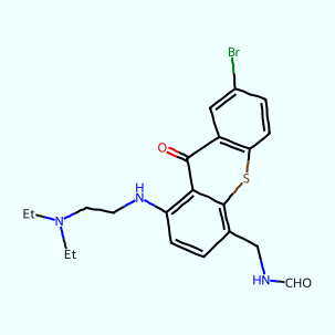 CCN(CC)CCNc1ccc(CNC=O)c2sc3ccc(Br)cc3c(=O)c12